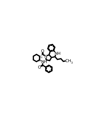 CCCCC1Nc2ccccc2C2C1CCN2C(=O)[C@H]1CCCC[C@H]1NC(=O)c1ccccc1